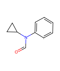 O=CN(c1[c]cccc1)C1CC1